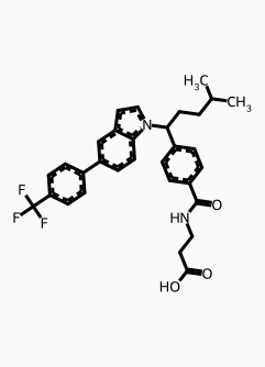 CC(C)CCC(c1ccc(C(=O)NCCC(=O)O)cc1)n1ccc2cc(-c3ccc(C(F)(F)F)cc3)ccc21